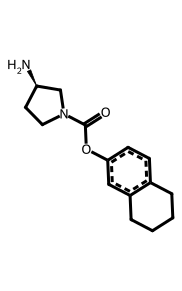 N[C@@H]1CCN(C(=O)Oc2ccc3c(c2)CCCC3)C1